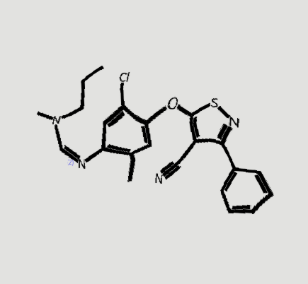 CCCN(C)/C=N\c1cc(Cl)c(Oc2snc(-c3ccccc3)c2C#N)cc1C